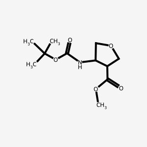 COC(=O)C1COCC1NC(=O)OC(C)(C)C